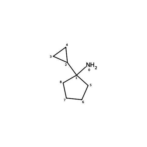 NC1(C2CC2)CCCC1